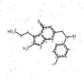 CCN(Cc1cc(=O)n2c(CCS(=O)(=O)O)c(C)sc2n1)c1ccc(F)cc1